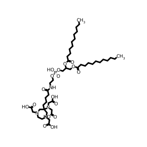 CCCCCCCCCCCC(=O)OCC(COP(=O)(O)OCCNC(=O)CCCCC1(N(CC(=O)O)CC(=O)O)CN(CC(=O)O)CCN(CC(=O)O)C1)OC(=O)CCCCCCCCCCC